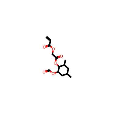 C=CC(=O)OCC(=O)OC1C(C)CC(C)CC1OC=O